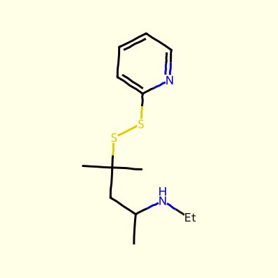 CCNC(C)CC(C)(C)SSc1ccccn1